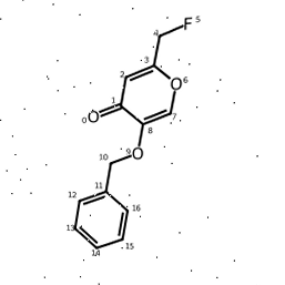 O=c1cc(CF)occ1OCc1ccccc1